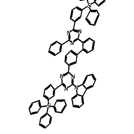 c1ccc(-c2nc(-c3cccc([Si](c4ccccc4)(c4ccccc4)c4ccccc4)c3)nc(-c3ccccc3-c3cccc(-c4nc(-c5cccc([Si](c6ccccc6)(c6ccccc6)c6ccccc6)c5)nc(-n5c6ccccc6c6ccccc65)n4)c3)n2)cc1